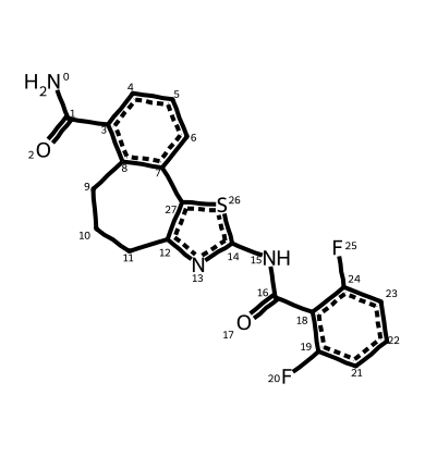 NC(=O)c1cccc2c1CCCc1nc(NC(=O)c3c(F)cccc3F)sc1-2